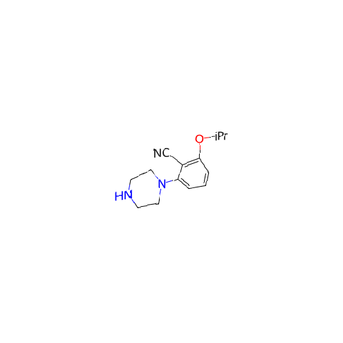 CC(C)Oc1cccc(N2CCNCC2)c1C#N